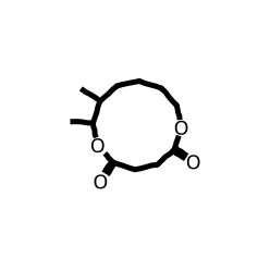 CC1CCCCOC(=O)CCC(=O)OC1C